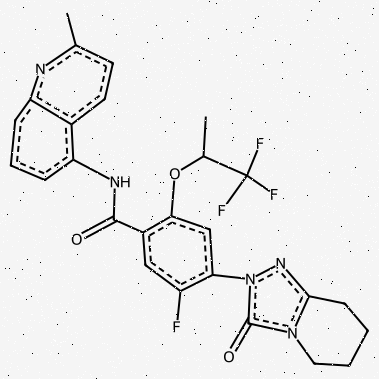 Cc1ccc2c(NC(=O)c3cc(F)c(-n4nc5n(c4=O)CCCC5)cc3OC(C)C(F)(F)F)cccc2n1